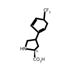 O=C(O)[C@@H]1CC(C2=CCC(C(F)(F)F)C=C2)CN1